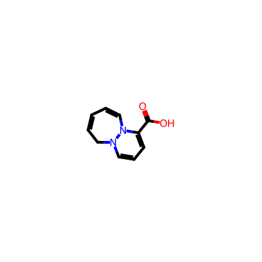 O=C(O)C1=CC=CN2CC=CC=CN12